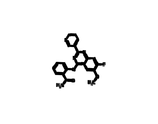 COc1cc2c(Oc3ccccc3C(N)=O)nc(-c3cccnc3)nc2cc1F